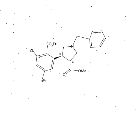 CCCc1cc(Cl)c(C(=O)OCC)c([C@H]2CN(Cc3ccccc3)C[C@@H]2C(=O)OC)c1